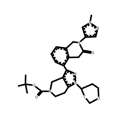 Cn1cc(N2Cc3cccc(-c4nn(C5CCOCC5)c5c4CN(C(=O)OC(C)(C)C)CC5)c3CC2=O)cn1